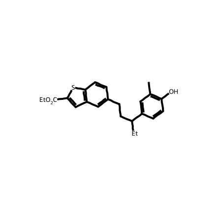 CCOC(=O)c1cc2cc(CCC(CC)c3ccc(O)c(C)c3)ccc2s1